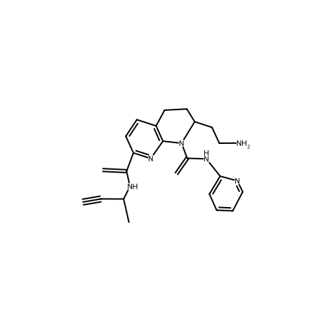 C#CC(C)NC(=C)c1ccc2c(n1)N(C(=C)Nc1ccccn1)C(CCN)CC2